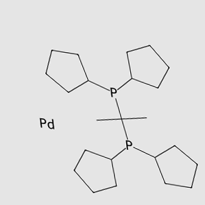 CC(C)(P(C1CCCC1)C1CCCC1)P(C1CCCC1)C1CCCC1.[Pd]